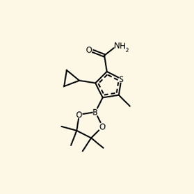 Cc1sc(C(N)=O)c(C2CC2)c1B1OC(C)(C)C(C)(C)O1